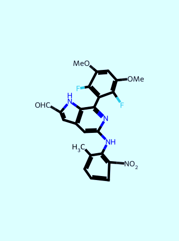 COc1cc(OC)c(F)c(-c2nc(Nc3c(C)cccc3[N+](=O)[O-])cc3cc(C=O)[nH]c23)c1F